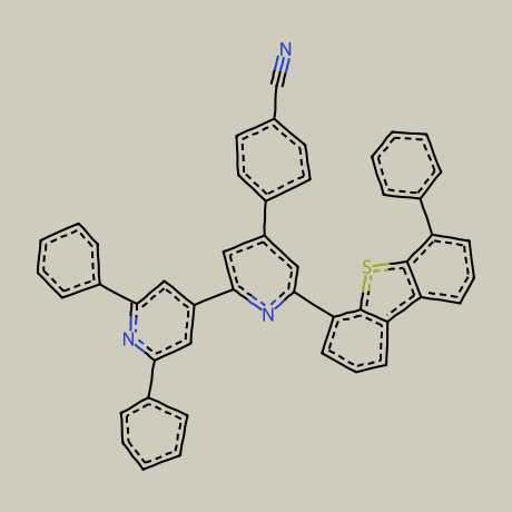 N#Cc1ccc(-c2cc(-c3cc(-c4ccccc4)nc(-c4ccccc4)c3)nc(-c3cccc4c3sc3c(-c5ccccc5)cccc34)c2)cc1